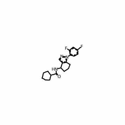 O=C(NC1CCCc2c1cnn2-c1ccc(F)cc1F)C1CCCCC1